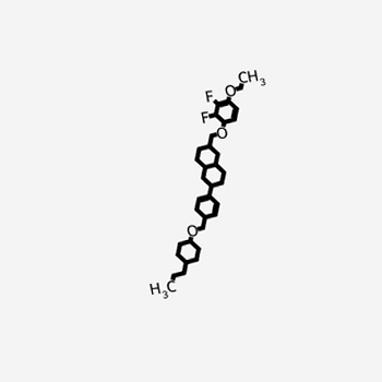 CCCC1CCC(OCC2C=CC(C3CCC4CC(COC5C=CC(OCC)=C(F)C5F)CCC4C3)=CC2)CC1